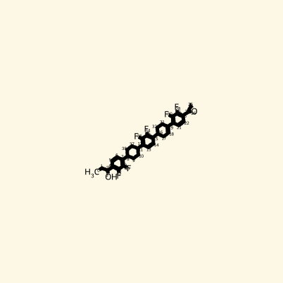 CCC(O)c1ccc(C2CCC(c3ccc(C4CC=C(c5ccc(C6CO6)c(F)c5F)CC4)c(F)c3F)CC2)c(F)c1F